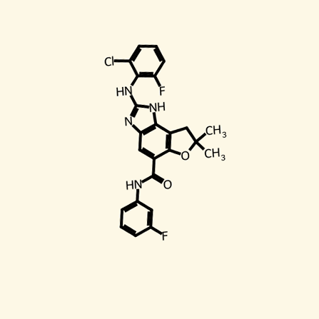 CC1(C)Cc2c(c(C(=O)Nc3cccc(F)c3)cc3nc(Nc4c(F)cccc4Cl)[nH]c23)O1